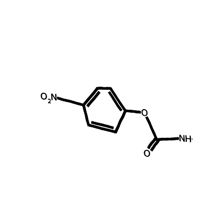 [NH]C(=O)Oc1ccc([N+](=O)[O-])cc1